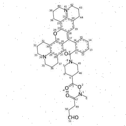 CN(OC(=O)C1CCN(C(=O)c2ccccc2C2=c3cc4c5c(c3Oc3c2cc2c6c3CCCN6CCC2)CCC[N+]=5CCC4)CC1)C(=O)CCC=O